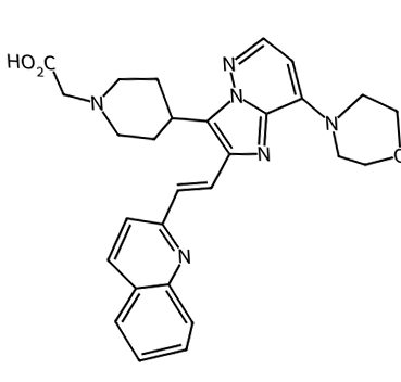 O=C(O)CN1CCC(c2c(C=Cc3ccc4ccccc4n3)nc3c(N4CCOCC4)ccnn23)CC1